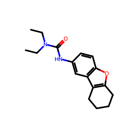 CCN(CC)C(=O)Nc1ccc2oc3c(c2c1)CCCC3